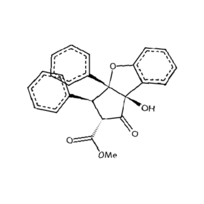 COC(=O)[C@H]1C(=O)[C@@]2(O)c3ccccc3O[C@@]2(c2ccccc2)[C@@H]1c1ccccc1